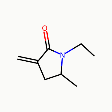 C=C1CC(C)N(CC)C1=O